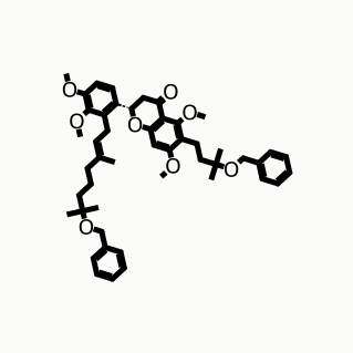 COc1cc2c(c(OC)c1CCC(C)(C)OCc1ccccc1)C(=O)C[C@@H](c1ccc(OC)c(OC)c1C/C=C(\C)CCCC(C)(C)OCc1ccccc1)O2